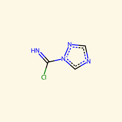 N=C(Cl)n1cncn1